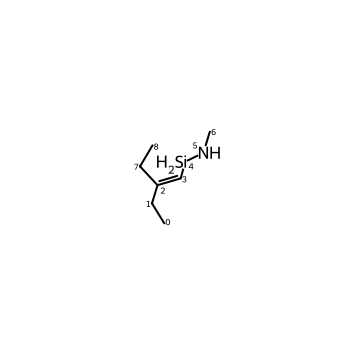 CCC(=C[SiH2]NC)CC